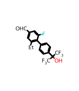 CCc1cc(C=O)cc(F)c1-c1ccc(C(O)(C(F)(F)F)C(F)(F)F)cc1